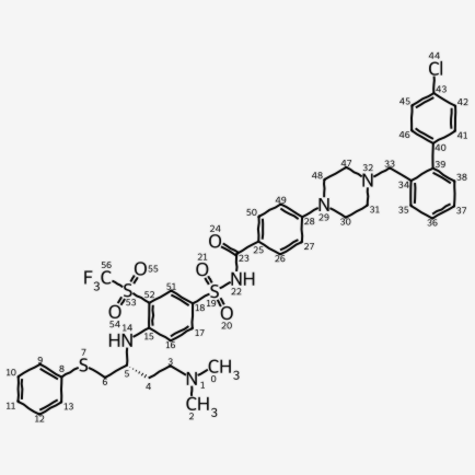 CN(C)CC[C@H](CSc1ccccc1)Nc1ccc(S(=O)(=O)NC(=O)c2ccc(N3CCN(Cc4ccccc4-c4ccc(Cl)cc4)CC3)cc2)cc1S(=O)(=O)C(F)(F)F